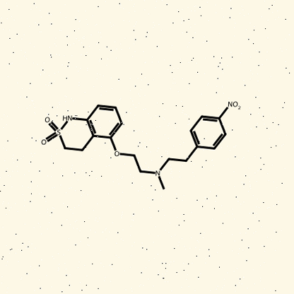 CN(CCOc1cccc2c1CCS(=O)(=O)N2)CCc1ccc([N+](=O)[O-])cc1